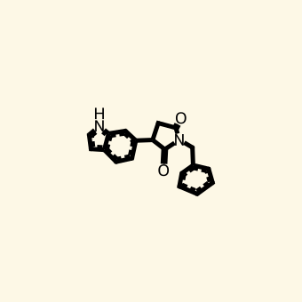 O=C1CC(c2ccc3cc[nH]c3c2)C(=O)N1Cc1ccccc1